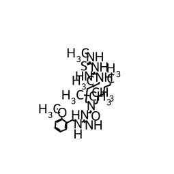 CCCCCCN(CC(C)(C)CC(C)(C)CNC(=N)NC(=S)NC)C(=O)NC(=N)NCc1ccccc1OC